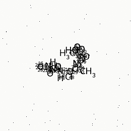 CCc1c2c(nc3cc(OCCCNC(=O)CNC(=O)[C@@H](N)Cc4ccccc4)ccc13)-c1cc3c(c(=O)n1C2)COC(=O)[C@]3(O)CC.Cl